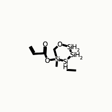 C=CC(=O)O[Si]1(C)CO[SiH2][SiH2][SiH]1CC